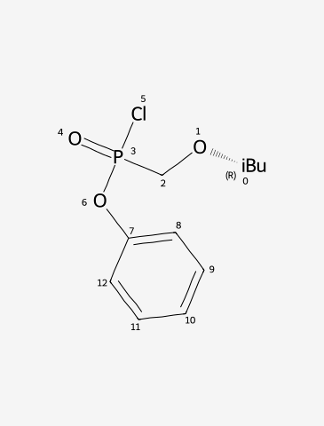 CC[C@@H](C)OCP(=O)(Cl)Oc1ccccc1